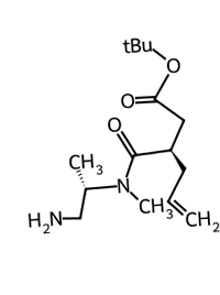 C=CC[C@H](CC(=O)OC(C)(C)C)C(=O)N(C)[C@@H](C)CN